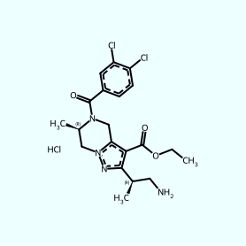 CCOC(=O)c1c([C@H](C)CN)nn2c1CN(C(=O)c1ccc(Cl)c(Cl)c1)[C@H](C)C2.Cl